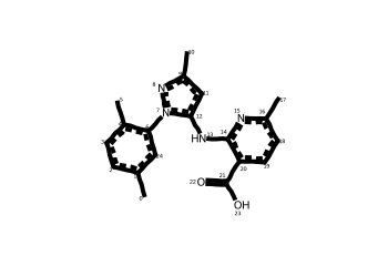 Cc1ccc(C)c(-n2nc(C)cc2Nc2nc(C)ccc2C(=O)O)c1